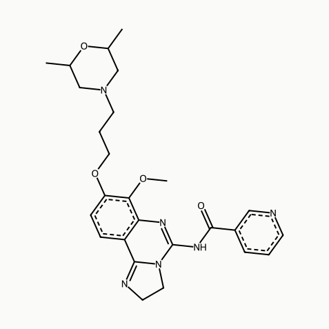 COc1c(OCCCN2CC(C)OC(C)C2)ccc2c1N=C(NC(=O)c1cccnc1)N1CCN=C21